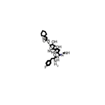 N#C[C@@]1(c2ccc(/C(=N\C=N)NC(=O)[C@@H](N)Cc3ccc(F)cc3)[nH]2)O[C@H](COC(=O)CC2(N)CCCCC2)[C@@H](O)[C@H]1O